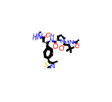 CNC(=O)C[C@H](NC(=O)[C@@H]1CCCN1C(=O)C(NC(C)=O)C(C)(C)C)c1ccc(-c2scnc2C)cc1